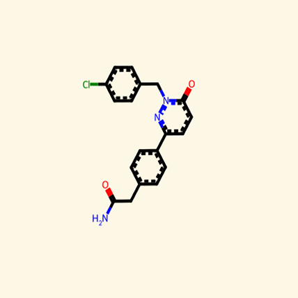 NC(=O)Cc1ccc(-c2ccc(=O)n(Cc3ccc(Cl)cc3)n2)cc1